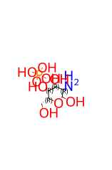 N[C@H]1C(O)O[C@H](CO)[C@H](O)[C@@H]1O.O=P(O)(O)O